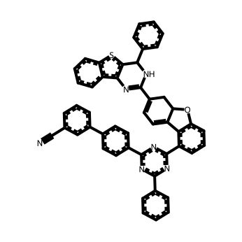 N#Cc1cccc(-c2ccc(-c3nc(-c4ccccc4)nc(-c4cccc5c4C4=CC=C(C6=Nc7c(sc8ccccc78)C(c7ccccc7)N6)CC4O5)n3)cc2)c1